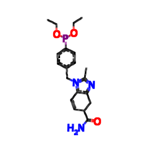 CCOP(OCC)c1ccc(Cn2c(C)nc3c2C=CC(C(N)=O)C3)cc1